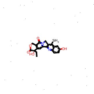 CC[C@@]1(O)C(=O)OCc2c1cc1n(c2=O)Cc2c-1nc1ccc(O)cc1c2[SiH3]